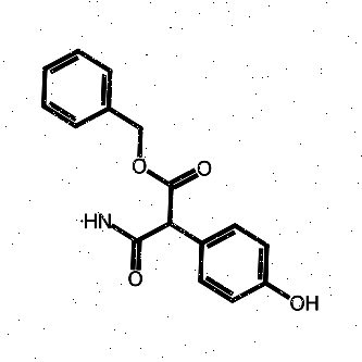 [NH]C(=O)C(C(=O)OCc1ccccc1)c1ccc(O)cc1